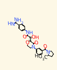 N=C(N)c1ccc(NC(=O)[C@H](O)[C@H]2OCCN(c3cccc(C(=O)N4CCCC4C(=O)O)c3)C2=O)cc1